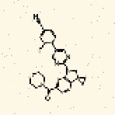 N#Cc1ccc(-c2cnc(N3CC4(CC4)c4ccc(C(=O)N5CCOCC5)cc43)nc2)c(F)c1